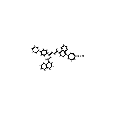 CCCCCC1=C=CC(C2=c3ccccc3=C(/C(C)=C/C=C(\CNC3C=CCC4CCCCC43)c3ccc(C4CC=CCC4)cc3)CC2)CC=C1